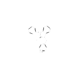 O=C1C(Cc2ccncc2)c2ccccc2N1c1ccccc1